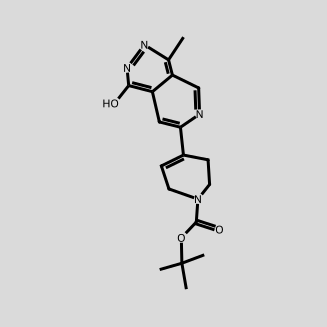 Cc1nnc(O)c2cc(C3=CCN(C(=O)OC(C)(C)C)CC3)ncc12